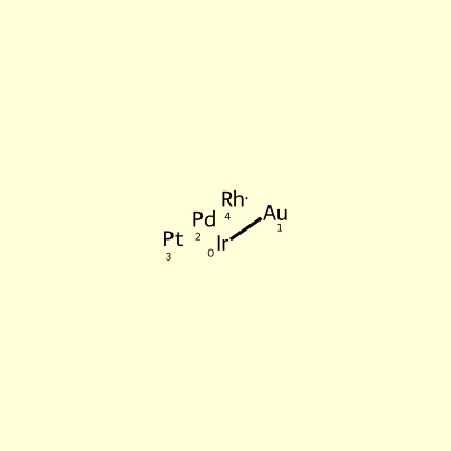 [Ir][Au].[Pd].[Pt].[Rh]